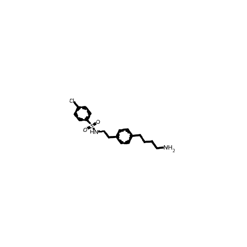 NCCCCc1ccc(CCNS(=O)(=O)c2ccc(Cl)cc2)cc1